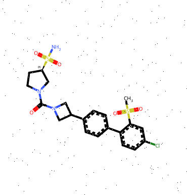 CS(=O)(=O)c1cc(Cl)ccc1-c1ccc(C2CN(C(=O)N3CC[C@@H](S(N)(=O)=O)C3)C2)cc1